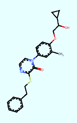 Cc1cc(-n2ccnc(SCCc3ccccc3)c2=O)ccc1OCC(O)C1CC1